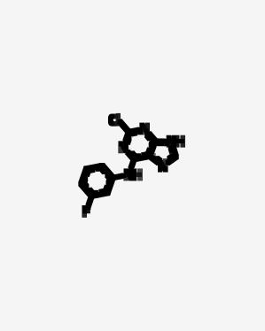 Fc1cccc(Nc2nc(Cl)nc3[nH]cnc23)c1